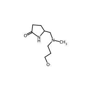 CN(CCC[O])CC1CCC(=O)N1